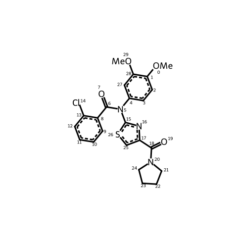 COc1ccc(N(C(=O)c2ccccc2Cl)c2nc(C(=O)N3CCCC3)cs2)cc1OC